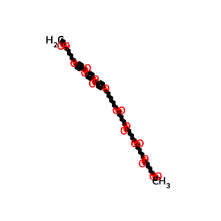 C=CC(=O)OCCCCCCOc1ccc(C(=O)Oc2ccc(OC(=O)c3ccc(OCCCCCCCCOC(=O)CCCCCOC(=O)CCCCCOC(=O)CCCCCOC(=O)CCCCCOC(C)=O)cc3)cc2)cc1